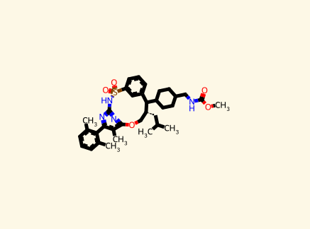 COC(=O)NCC1CCC(C2c3cccc(c3)S(=O)(=O)Nc3nc(c(C)c(-c4c(C)cccc4C)n3)OC[C@H]2CC(C)C)CC1